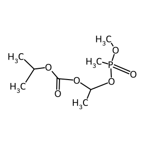 COP(C)(=O)OC(C)OC(=O)OC(C)C